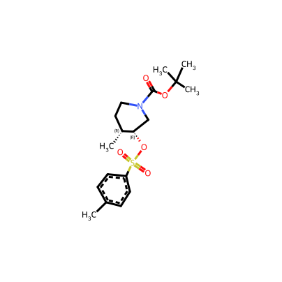 Cc1ccc(S(=O)(=O)O[C@H]2CN(C(=O)OC(C)(C)C)CC[C@H]2C)cc1